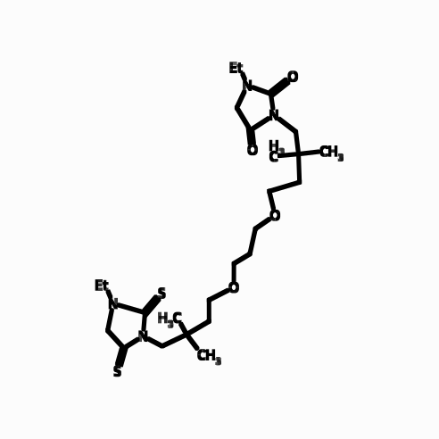 CCN1CC(=O)N(CC(C)(C)CCOCCCOCCC(C)(C)CN2C(=S)CN(CC)C2=S)C1=O